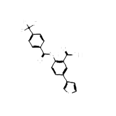 O=C(Nc1ccc(-c2ccsc2)cc1C(=O)O)c1ccc(C(F)(F)F)cc1